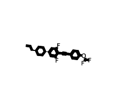 CCC[C@H]1CC[C@H](c2cc(F)c(C#Cc3ccc(OC(F)F)cc3)c(F)c2)CC1